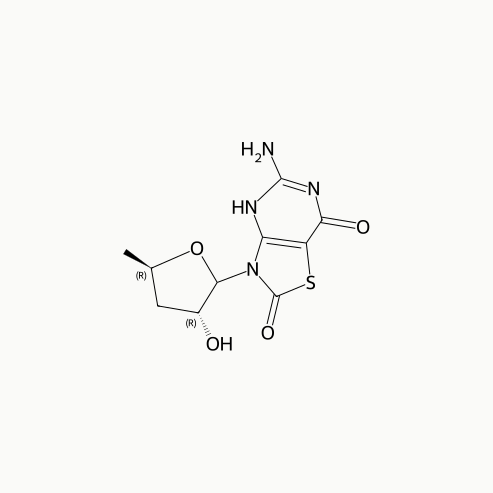 C[C@@H]1C[C@@H](O)C(n2c(=O)sc3c(=O)nc(N)[nH]c32)O1